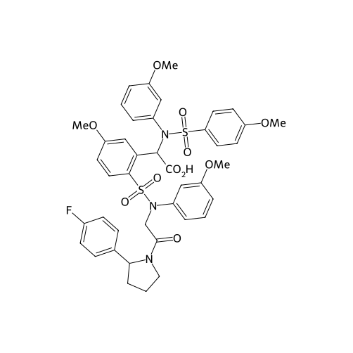 COc1ccc(S(=O)(=O)N(c2cccc(OC)c2)C(C(=O)O)c2cc(OC)ccc2S(=O)(=O)N(CC(=O)N2CCCC2c2ccc(F)cc2)c2cccc(OC)c2)cc1